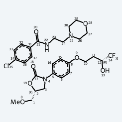 COC[C@H]1CN(c2ccc(OCC[C@@H](O)C(F)(F)F)cc2)C(=O)O1.O=C(NCCN1CCOCC1)c1ccc(Cl)cc1